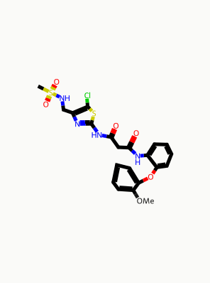 COc1ccccc1Oc1ccccc1NC(=O)CC(=O)Nc1nc(CNS(C)(=O)=O)c(Cl)s1